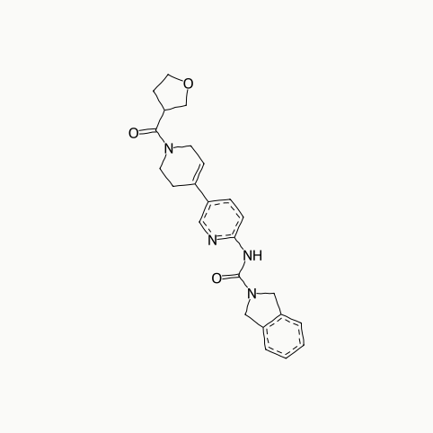 O=C(Nc1ccc(C2=CCN(C(=O)C3CCOC3)CC2)cn1)N1Cc2ccccc2C1